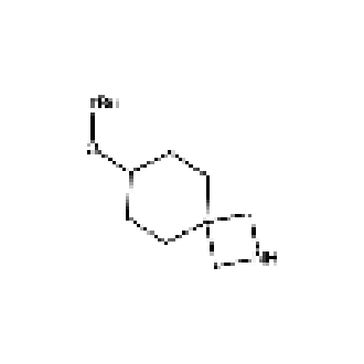 CC(C)(C)OC1CCC2(CC1)CNC2